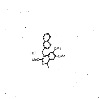 COc1cc2c(C)nc(OC)c(Cc3ccc4ccccc4c3)c2cc1OC.Cl